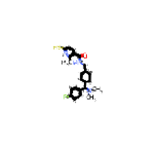 Cc1nc(S)ccc1C(=O)NCC1CCC(C(c2ccc(F)cc2)N(C)C)CC1